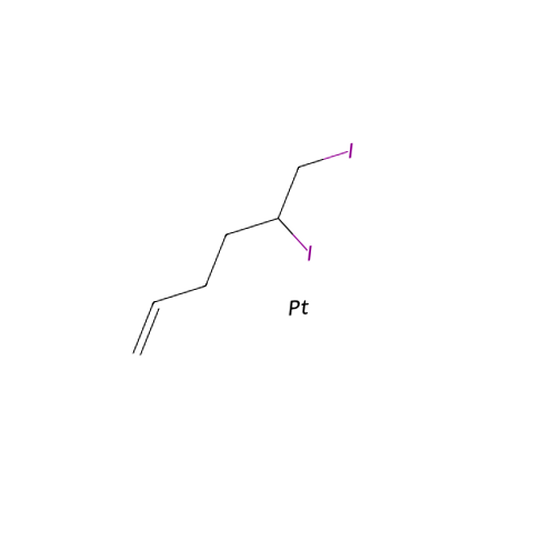 C=CCCC(I)CI.[Pt]